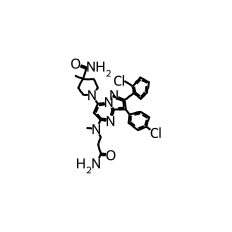 CN(CCC(N)=O)c1cc(N2CCC(C)(C(N)=O)CC2)n2nc(-c3ccccc3Cl)c(-c3ccc(Cl)cc3)c2n1